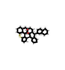 c1cc2c(c(-c3c4ccccc4c(-c4ccc5ccccc5c4)c4ccccc34)c1)-c1cccc3cccc(c13)S2